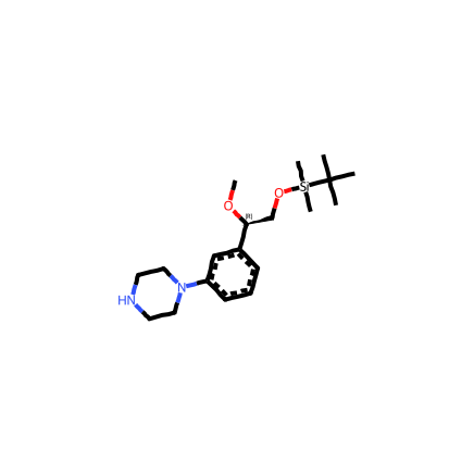 CO[C@@H](CO[Si](C)(C)C(C)(C)C)c1cccc(N2CCNCC2)c1